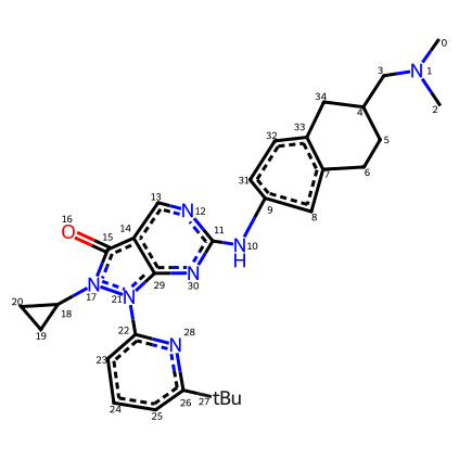 CN(C)CC1CCc2cc(Nc3ncc4c(=O)n(C5CC5)n(-c5cccc(C(C)(C)C)n5)c4n3)ccc2C1